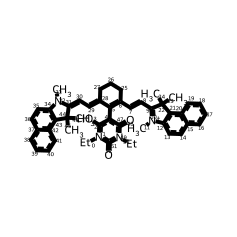 CCn1c(O)c(C2=C(/C=C/C3=[N+](C)c4ccc5ccccc5c4C3(C)C)CCC/C2=C\C=C2\N(C)c3ccc4ccccc4c3C2(C)C)c(=O)n(CC)c1=O